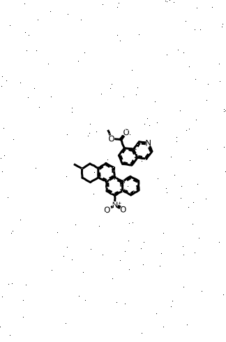 CC1CCc2c(ccc3c2cc([N+](=O)[O-])c2ccccc23)C1.COC(=O)c1cccc2ccncc12